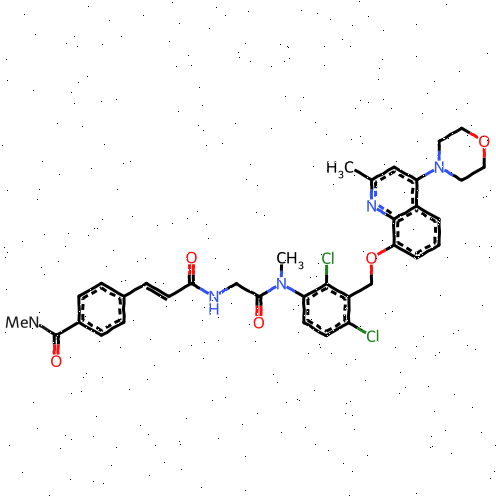 CNC(=O)c1ccc(/C=C/C(=O)NCC(=O)N(C)c2ccc(Cl)c(COc3cccc4c(N5CCOCC5)cc(C)nc34)c2Cl)cc1